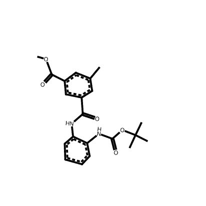 COC(=O)c1cc(C)cc(C(=O)Nc2ccccc2NC(=O)OC(C)(C)C)c1